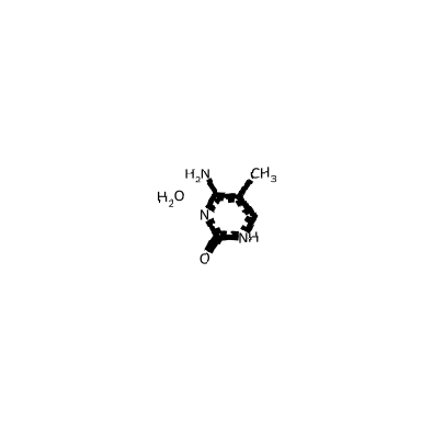 Cc1c[nH]c(=O)nc1N.O